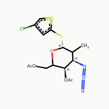 CC(=O)OCC1O[C@H](Sc2cc(Cl)cs2)C(C)[C@@H](N=[N+]=[N-])[C@H]1OC(C)=O